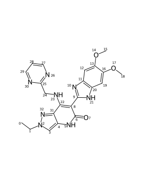 CCn1cc2[nH]c(=O)c(-c3nc4cc(OC)c(OC)cc4[nH]3)c(NCc3ncccn3)c2n1